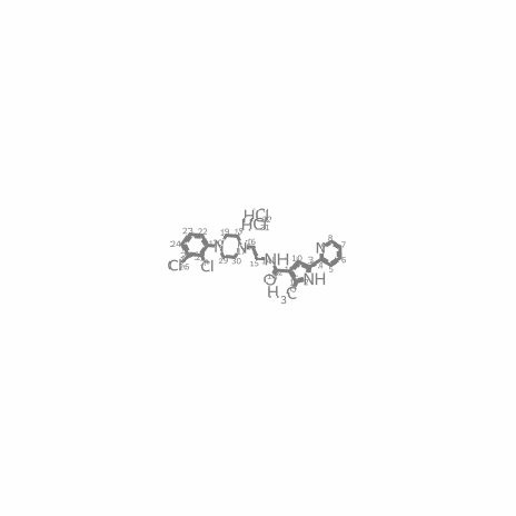 Cc1[nH]c(-c2ccccn2)cc1C(=O)NCCN1CCN(c2cccc(Cl)c2Cl)CC1.Cl.Cl